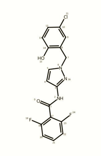 O=C(Nc1ccn(Cc2cc(Cl)ccc2O)n1)c1c(F)cccc1F